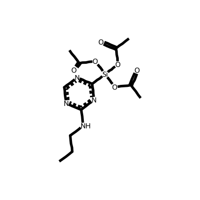 CCCNc1ncnc([Si](OC(C)=O)(OC(C)=O)OC(C)=O)n1